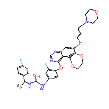 CC(NC(O)Nc1ccc(Oc2ncnc3cc(OCCCN4CCOCC4)c4c(c23)OCCO4)c(F)c1)c1ccc(F)cc1